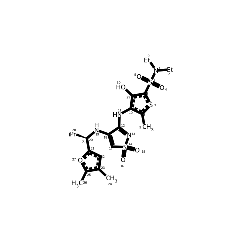 CCN(CC)S(=O)(=O)c1sc(C)c(NC2=NS(=O)(=O)C=C2N[C@@H](c2cc(C)c(C)o2)C(C)C)c1O